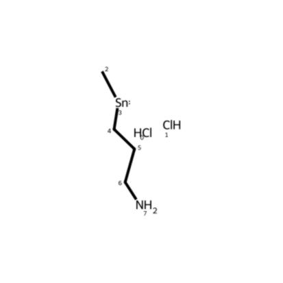 Cl.Cl.[CH3][Sn][CH2]CCN